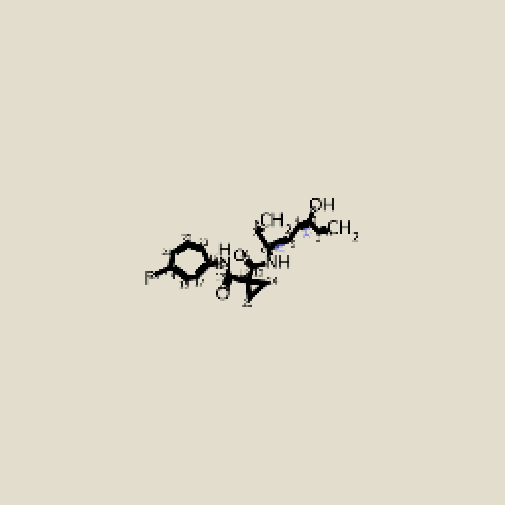 C=C/C(O)=C\C=C(/C=C)NC(=O)C1(C(=O)NC2=CC=C(F)C=C=C2)CC1